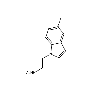 CC(=O)NCCn1ccc2c[n+](C)ccc21